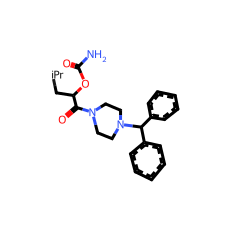 CC(C)CC(OC(N)=O)C(=O)N1CCN(C(c2ccccc2)c2ccccc2)CC1